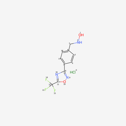 Cl.ONCc1ccc(-c2noc(C(F)(F)F)n2)cc1